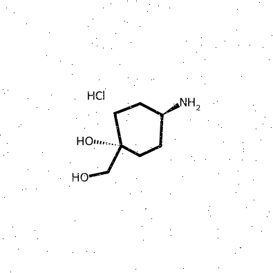 Cl.N[C@H]1CC[C@@](O)(CO)CC1